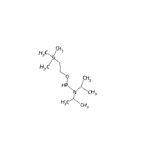 CC(C)N(POCC[Si](C)(C)C)C(C)C